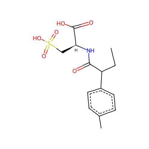 CCC(C(=O)N[C@@H](CS(=O)(=O)O)C(=O)O)c1ccc(C)cc1